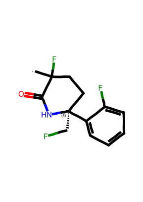 [CH2]C1(F)CC[C@@](CF)(c2ccccc2F)NC1=O